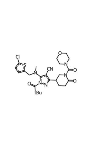 CN(Cc1ccc(Cl)s1)c1c(C#N)c(C2CCC(=O)N(C(=O)N3CCOCC3)C2)nn1C(=O)C(C)(C)C